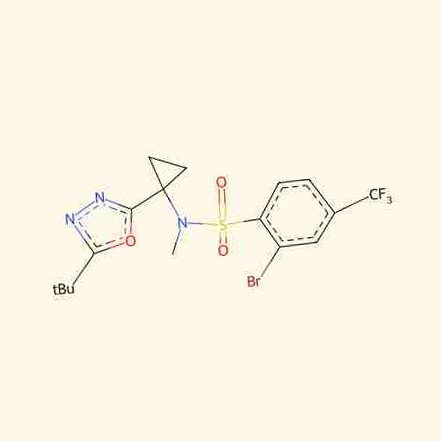 CN(C1(c2nnc(C(C)(C)C)o2)CC1)S(=O)(=O)c1ccc(C(F)(F)F)cc1Br